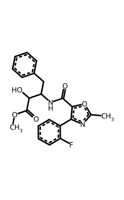 COC(=O)C(O)C(Cc1ccccc1)NC(=O)c1oc(C)nc1-c1ccccc1F